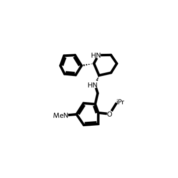 CNc1ccc(OC(C)C)c(CN[C@H]2CCCN[C@H]2c2ccccc2)c1